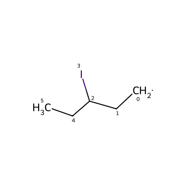 [CH2]CC(I)CC